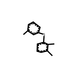 Cc1cccc(Sc2cccc(C)c2C)c1